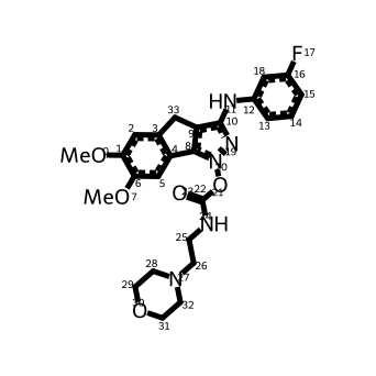 COc1cc2c(cc1OC)-c1c(c(Nc3cccc(F)c3)nn1OC(=O)NCCN1CCOCC1)C2